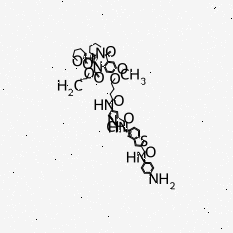 C=CCOC(=O)N1c2cc(OCCCC(=O)Nc3cc(C(=O)Nc4ccc5sc(C(=O)Nc6ccc(N)cc6)cc5c4)n(C)c3)c(OC)cc2C(=O)N2CCCC[C@H]2C1OC1CCCCO1